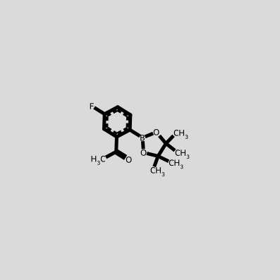 CC(=O)c1cc(F)ccc1B1OC(C)(C)C(C)(C)O1